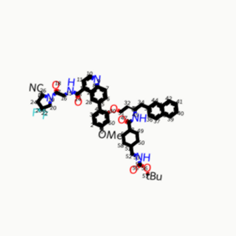 COc1ccc(-c2ccc3nccc(C(=O)NCC(=O)N4CC(F)(F)C[C@H]4C#N)c3c2)c(OCC[C@@H](Cc2ccc3ccccc3c2)NC(=O)C2CCC(CNC(=O)OC(C)(C)C)CC2)c1